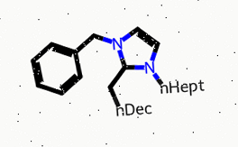 CCCCCCCCCCCC1N(CCCCCCC)C=CN1Cc1ccccc1